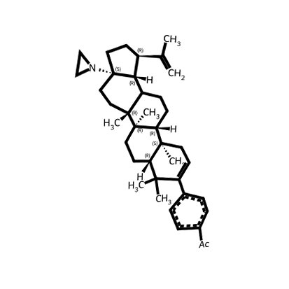 C=C(C)[C@@H]1CC[C@]2(N3CC3)CC[C@]3(C)C(CC[C@@H]4[C@@]5(C)CC=C(c6ccc(C(C)=O)cc6)C(C)(C)[C@@H]5CC[C@]43C)[C@@H]12